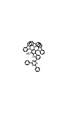 N#Cc1c(-n2c3ccccc3c3ccccc32)c(-n2c3c(c4ccccc42)C=C=C=C3)c(-n2c3ccccc3c3ccccc32)c2c1oc1c(-c3nc(-c4ccccc4)nc(-c4ccccc4)n3)cccc12